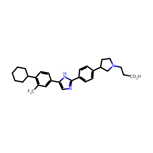 O=C(O)CCN1CCC(c2ccc(-c3ncc(-c4ccc(C5CCCCC5)c(C(F)(F)F)c4)[nH]3)cc2)C1